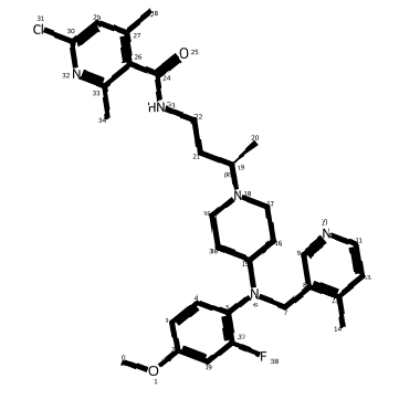 COc1ccc(N(Cc2cnccc2C)C2CCN([C@H](C)CCNC(=O)c3c(C)cc(Cl)nc3C)CC2)c(F)c1